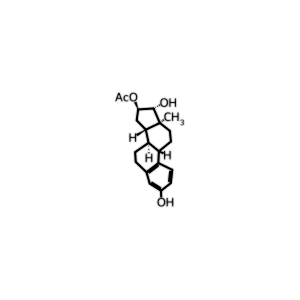 CC(=O)O[C@@H]1C[C@H]2[C@@H]3CCc4cc(O)ccc4[C@H]3CC[C@]2(C)[C@H]1O